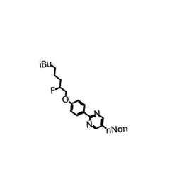 CCCCCCCCCc1cnc(-c2ccc(OCC(F)CCCC(C)CC)cc2)nc1